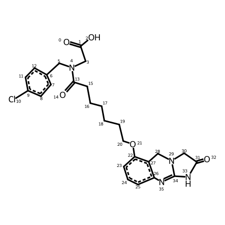 O=C(O)CN(Cc1ccc(Cl)cc1)C(=O)CCCCCCOc1cccc2c1CN1CC(=O)NC1=N2